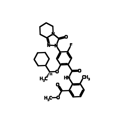 COC(=O)c1cccc(C)c1NC(=O)c1cc(F)c(-n2nc3n(c2=O)CCCC3)cc1O[C@H](C)C1CCCCC1